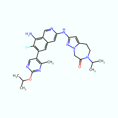 Cc1nc(OC(C)C)ncc1-c1cc2cc(Nc3cc4n(n3)CC(=O)N(C(C)C)CC4)ncc2c(N)c1F